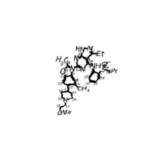 CCc1n[nH]c2nc(N3c4cc(C)c(C5CCN(CCOC)CC5)cc4OC3C)nc(Nc3ccccc3[S+]([O-])C(C)C)c12